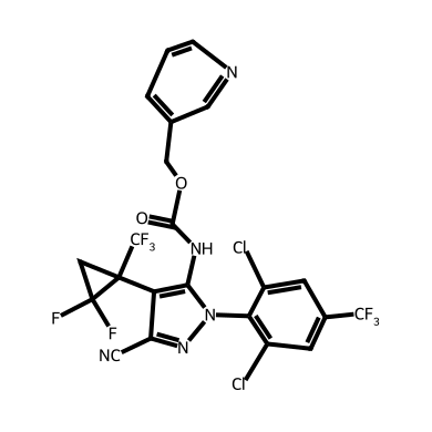 N#Cc1nn(-c2c(Cl)cc(C(F)(F)F)cc2Cl)c(NC(=O)OCc2cccnc2)c1C1(C(F)(F)F)CC1(F)F